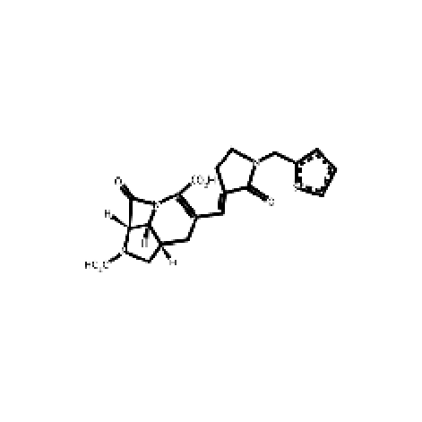 O=C(O)C1=C(/C=C2\CCN(Cc3cccs3)C2=O)C[C@@H]2CN(C(=O)O)[C@@H]3C(=O)N1[C@H]23